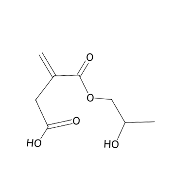 C=C(CC(=O)O)C(=O)OCC(C)O